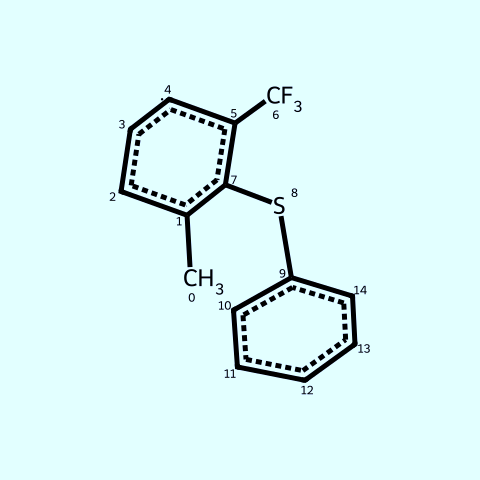 Cc1cc[c]c(C(F)(F)F)c1Sc1ccccc1